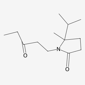 CCC(=O)CCN1C(=O)CCC1(C)C(C)C